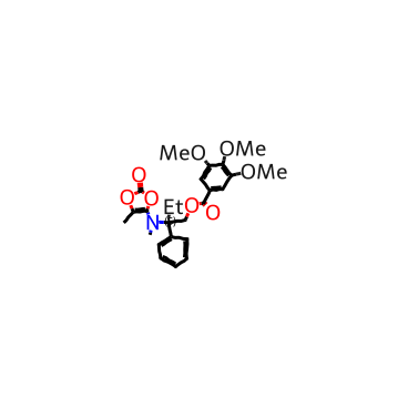 CC[C@@](COC(=O)c1cc(OC)c(OC)c(OC)c1)(c1ccccc1)N(C)c1oc(=O)oc1C